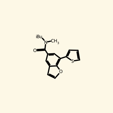 CCC(C)N(C)C(=O)c1cc(-c2cccs2)c2occc2c1